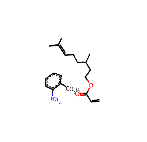 C=CC(=O)OCCC(C)CCC=C(C)C.Nc1ccccc1C(=O)O